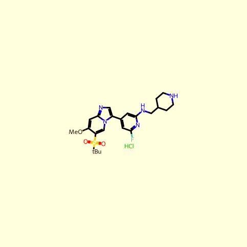 COc1cc2ncc(-c3cc(F)nc(NCC4CCNCC4)c3)n2cc1S(=O)(=O)C(C)(C)C.Cl